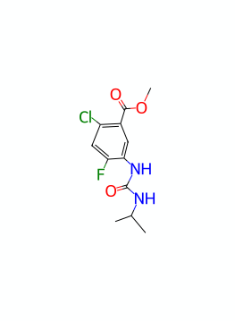 COC(=O)c1cc(NC(=O)NC(C)C)c(F)cc1Cl